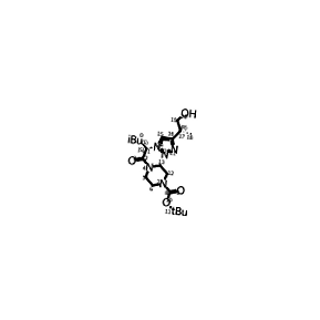 CC[C@H](C)[C@@H](C(=O)N1CCN(C(=O)OC(C)(C)C)CC1)n1cc([C@@H](C)CO)nn1